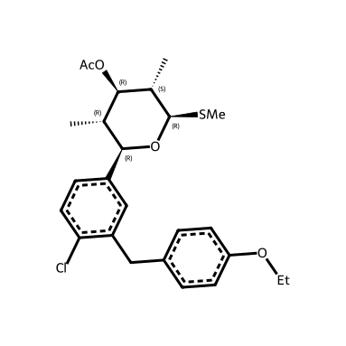 CCOc1ccc(Cc2cc([C@@H]3O[C@H](SC)[C@@H](C)[C@H](OC(C)=O)[C@H]3C)ccc2Cl)cc1